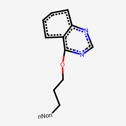 CCCCCCCCCCCCOc1ncnc2ccccc12